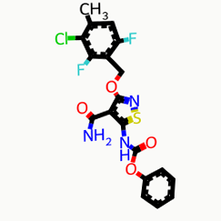 Cc1cc(F)c(COc2nsc(NC(=O)Oc3ccccc3)c2C(N)=O)c(F)c1Cl